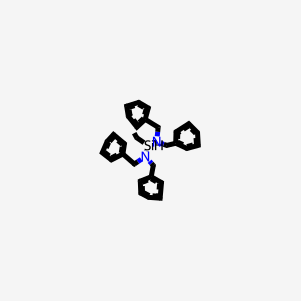 CC[SiH](N(Cc1ccccc1)Cc1ccccc1)N(Cc1ccccc1)Cc1ccccc1